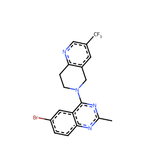 Cc1nc(N2CCc3ncc(C(F)(F)F)cc3C2)c2cc(Br)ccc2n1